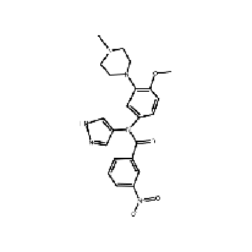 COc1ccc(N(C(=O)c2cccc([N+](=O)[O-])c2)c2cn[nH]c2)cc1N1CCN(C)CC1